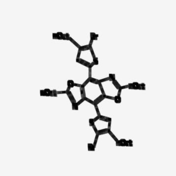 CCCCCCCCc1nc2c(-c3cc(CCCCCCCC)c(Br)s3)c3oc(CCCCCCCC)nc3c(-c3cc(CCCCCCCC)c(Br)s3)c2o1